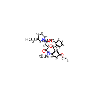 COc1ccccc1C1OC(CC(=O)N2CCCC(C(=O)O)C2)C(=O)N(CC(C)(C)C)c2ccc(OC(F)(F)F)cc21